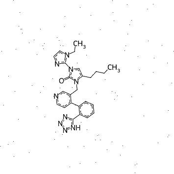 CCCCc1cn(-c2nccn2CC)c(=O)n1Cc1cnccc1-c1ccccc1-c1nnn[nH]1